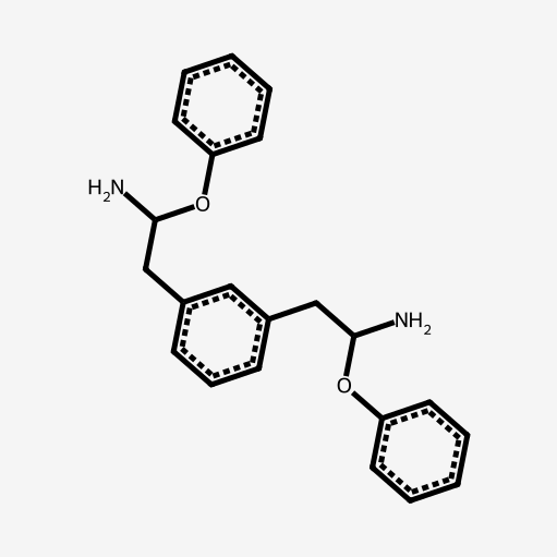 NC(Cc1cccc(CC(N)Oc2ccccc2)c1)Oc1ccccc1